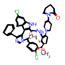 COC(=O)c1ccc(N2CCC(N3CCCCC3=O)CC2)c(NC(=O)c2[nH]c3cc(Cl)ccc3c2-c2c(-c3ccccc3)ncn2C(C)c2ccc(Cl)cc2)c1